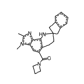 Cc1nc2c3c(c(C(=O)N4CCC4)cc2n1C)CCC1(Cc2ccccc2C1)N3